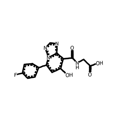 O=C(O)CNC(=O)c1c(O)cc(-c2ccc(F)cc2)n2ncnc12